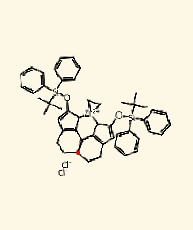 CC(C)(C)[Si](OC1=CC2=C(CCCC2)[CH]1[Zr+2]1([CH]2C(O[Si](c3ccccc3)(c3ccccc3)C(C)(C)C)=CC3=C2CCCC3)[CH2][CH2]1)(c1ccccc1)c1ccccc1.[Cl-].[Cl-]